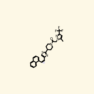 Cc1cc(C(F)(F)F)nn1CC(=O)N1CCC(c2nc(/C=C\c3cccc4ccccc34)cs2)CC1